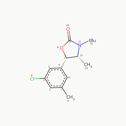 Cc1cc(Cl)cc([C@@H]2OC(=O)N(C(C)(C)C)[C@@H]2C)c1